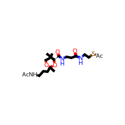 CC(=O)NCCCC1(C)OCC(C)(C)[C@H](C(=O)NCCC(=O)NCCSC(C)=O)O1